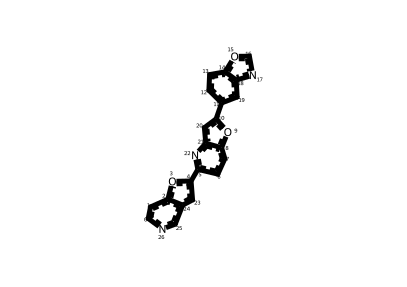 c1cc2oc(-c3ccc4oc(-c5ccc6ocnc6c5)cc4n3)cc2cn1